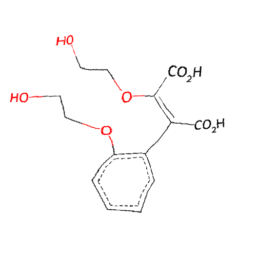 O=C(O)C(OCCO)=C(C(=O)O)c1ccccc1OCCO